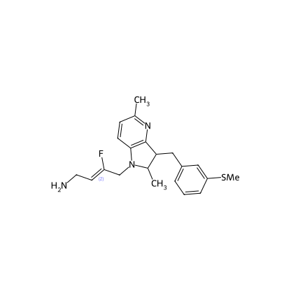 CSc1cccc(CC2c3nc(C)ccc3N(C/C(F)=C/CN)C2C)c1